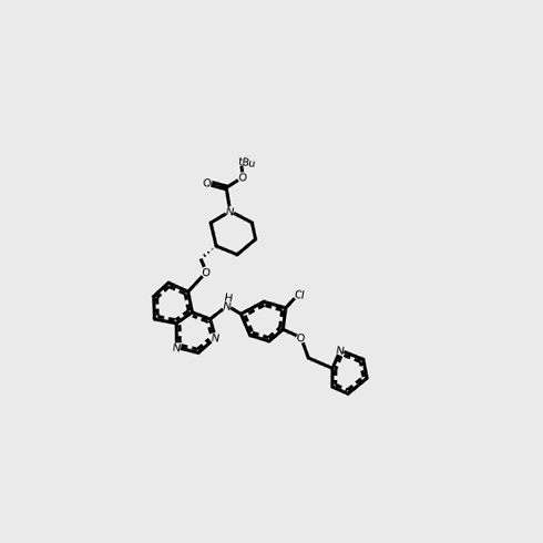 CC(C)(C)OC(=O)N1CCC[C@H](COc2cccc3ncnc(Nc4ccc(OCc5ccccn5)c(Cl)c4)c23)C1